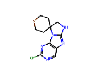 Clc1ncc2nc3n(c2n1)C1(CCSCC1)CN3